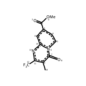 COC(=O)c1ccn2c(=O)c(C)c(C(F)(F)F)nc2c1